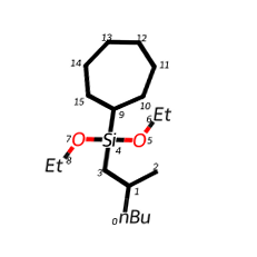 CCCCC(C)C[Si](OCC)(OCC)C1CCCCCC1